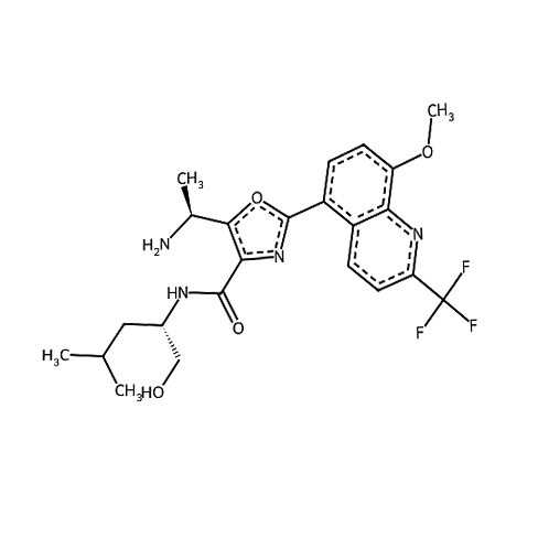 COc1ccc(-c2nc(C(=O)N[C@H](CO)CC(C)C)c([C@H](C)N)o2)c2ccc(C(F)(F)F)nc12